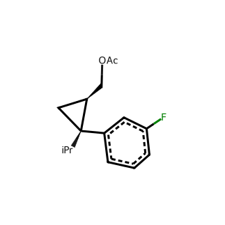 CC(=O)OC[C@@H]1C[C@]1(c1cccc(F)c1)C(C)C